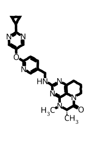 C[C@H]1C(=O)N2CCCc3nc(NCc4ccc(Oc5cnc(C6CC6)nc5)nc4)nc(c32)N1C